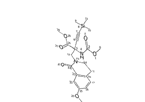 COC(=O)NC(C#C[Si](C)(C)C)(CN1CCc2ccc(OC)cc2C1=O)C(=O)OC